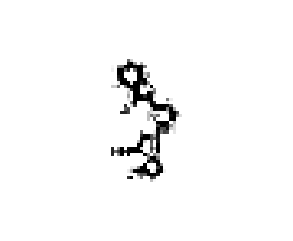 N=C(CNc1nccc(-c2sc3ccccc3c2Br)n1)N1CCCC1=O